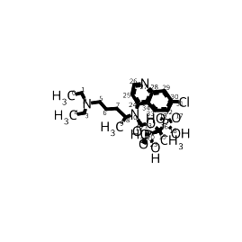 CCN(CC)CCCC(C)N(C(=O)OC(C)(P(=O)(O)O)P(=O)(O)O)c1ccnc2cc(Cl)ccc12